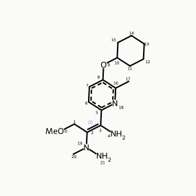 COC/C(=C(/N)c1ccc(OC2CCCCC2)c(C)n1)N(C)N